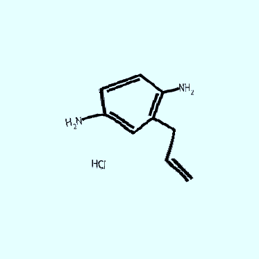 C=CCc1cc(N)ccc1N.Cl